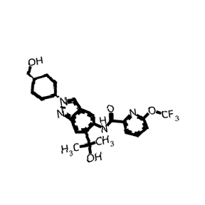 CC(C)(O)c1cc2nn([C@H]3CC[C@H](CO)CC3)cc2cc1NC(=O)c1cccc(OC(F)(F)F)n1